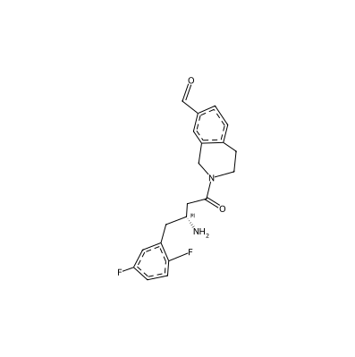 N[C@@H](CC(=O)N1CCc2ccc(C=O)cc2C1)Cc1cc(F)ccc1F